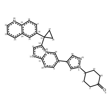 O=C1CCC(n2cc(-c3cnc4ncc(C5(c6ccc7ncccc7c6)CC5)n4c3)cn2)CC1